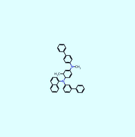 CC1C=C(N(C)c2ccc(-c3ccccc3)cc2)C=CC1N(c1cccc(-c2ccccc2)c1)c1cccc2ccccc12